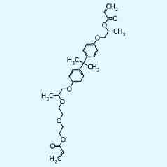 C=CC(=O)OCCOCCOC(C)COc1ccc(C(C)(C)c2ccc(OCC(C)OC(=O)C=C)cc2)cc1